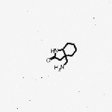 NCC12CCCCC1NC(=O)C2